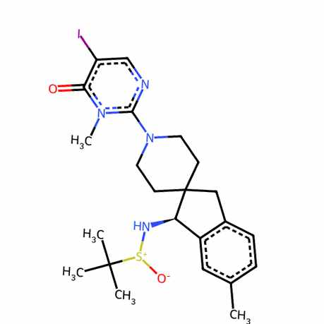 Cc1ccc2c(c1)[C@@H](N[S+]([O-])C(C)(C)C)C1(CCN(c3ncc(I)c(=O)n3C)CC1)C2